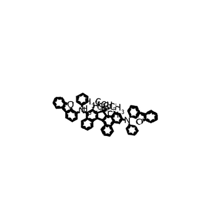 C[Si](C)(C)C1([Si](C)(C)C)c2cc(N(c3ccccc3)c3cccc4c3oc3ccccc34)c3ccccc3c2-c2c1c1ccc(N(c3ccccc3)c3cccc4c3oc3ccccc34)cc1c1ccccc21